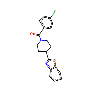 O=C(c1ccc(F)cc1)N1CCC(c2nc3ccccc3s2)CC1